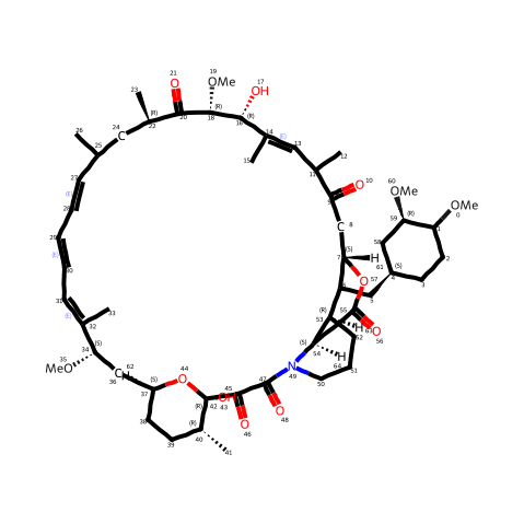 COC1CC[C@@H](CC2[C@@H]3CC(=O)C(C)/C=C(\C)[C@@H](O)[C@@H](OC)C(=O)[C@H](C)CC(C)/C=C/C=C/C=C(\C)[C@@H](OC)C[C@@H]4CC[C@@H](C)[C@@](O)(O4)C(=O)C(=O)N4CCC[C@H]2[C@H]4C(=O)O3)C[C@H]1OC